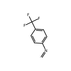 [CH]=Nc1ccc(C(F)(F)F)cc1